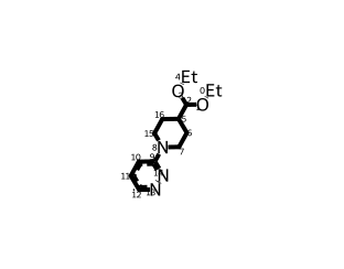 CCOC(OCC)C1CCN(c2cc[c]nn2)CC1